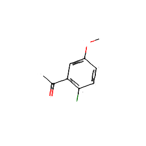 CCC(=O)c1cc(OC(F)(F)F)ccc1F